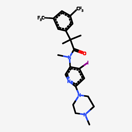 CN1CCN(c2cc(I)c(N(C)C(=O)C(C)(C)c3cc(C(F)(F)F)cc(C(F)(F)F)c3)cn2)CC1